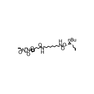 C=CCC[C@H]1[C@@H](CCCC)[C@H]1COC(=O)NCCCCCCCCNC(=O)CCc1ccc(N2CCN(C(=O)C=C)CC2=O)o1